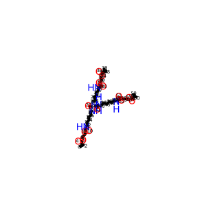 C=C(C)C(=O)OCCOC(=O)NCCCCCCNC(=O)N(CCCCCCNC(=O)OCCOC(=O)C(=C)C)C(=O)NCCCCCCNC(=O)OCCOC(=O)C(=C)C